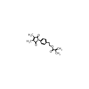 C=C(C)C(=O)OCCc1ccc(N2C(=O)C(C)=C(C)C2=O)cc1